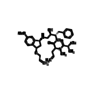 C=CCO[C@@H]1C[C@H](NC[C@@H](O)[C@H](Cc2ccccc2)NC(=O)C(CC=C)N(C)C(=O)C(C)CCCC)c2cc(OC)ccc21